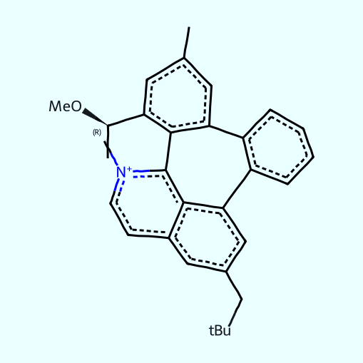 CO[C@H](C)c1cc(C)cc2c1-c1c3c(cc(CC(C)(C)C)cc3cc[n+]1C)-c1ccccc1-2